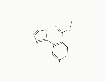 COC(=O)c1ccncc1-c1ncco1